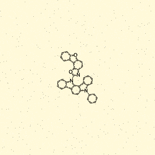 c1ccc(-n2c3ccccc3c3c2ccc2c4ccccc4n(-c4nc5ccc6oc7ccccc7c6c5o4)c23)cc1